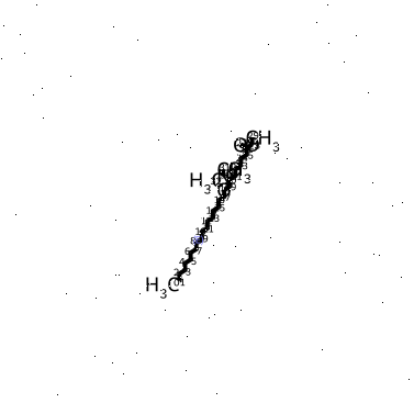 CCCCCCCC/C=C/CCCCCCCCOCC(COCCCC(=O)OC)N(C)C